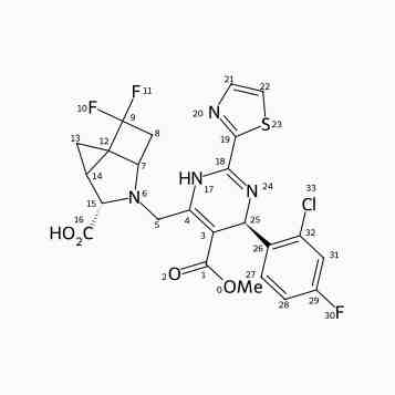 COC(=O)C1=C(CN2C3CC(F)(F)C34CC4[C@H]2C(=O)O)NC(c2nccs2)=N[C@H]1c1ccc(F)cc1Cl